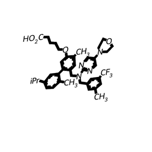 Cc1cc(CN(Cc2cc(C)c(OCCCCC(=O)O)cc2-c2cc(C(C)C)ccc2C)c2ncc(N3CCOCC3)cn2)cc(C(F)(F)F)c1